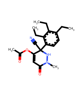 CCc1ccc(C2(C#N)NN(C)C(=O)C=C2OC(C)=O)c(CC)c1CC